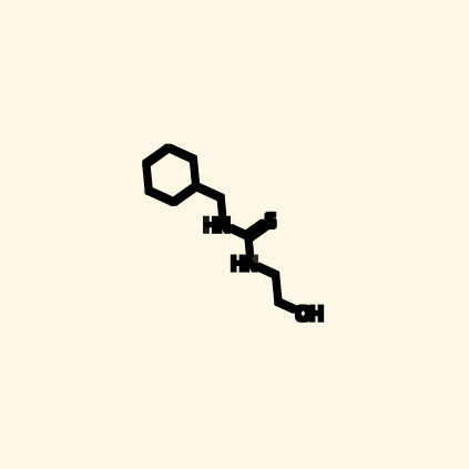 OCCNC(=S)NCC1CCCCC1